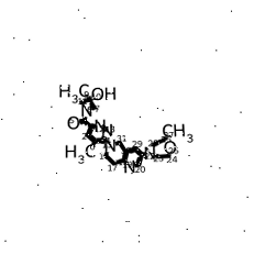 Cc1cc(C(=O)N2CC(C)(O)C2)nnc1N1CCc2ncc(N3CCO[C@H](C)C3)cc2C1